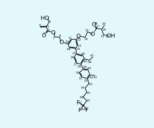 C=C(CO)C(=O)OCCOc1cc(OCCOC(=O)C(C)CO)cc(-c2ccc(-c3ccc(CCCCCC(F)(F)F)c(C)c3)c(CC)c2)c1